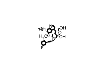 COc1ccc2nccc([C@H](CCO)[C@H]3CCN(CC#Cc4cccc(F)c4)C[C@@H]3C(=O)O)c2c1.Cl.Cl